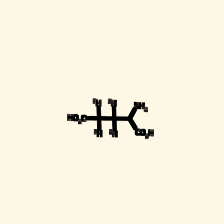 [2H]C([2H])(C(=O)O)C([2H])([2H])C(N)C(=O)O